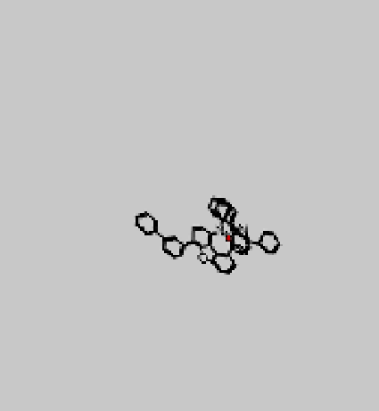 c1ccc(-c2cccc(-c3ccc(-n4c5ccccc5c5ccccc54)c4c3oc3cccc(-c5nc(-c6ccccc6)nc(-c6ccccc6)n5)c34)c2)cc1